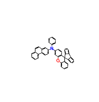 c1ccc(N(c2ccc3c(c2)Oc2ccccc2C32c3ccccc3-c3ccccc32)c2ccc3c(ccc4ccccc43)c2)cc1